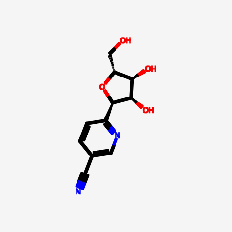 N#Cc1ccc([C@H]2O[C@H](CO)[C@@H](O)[C@H]2O)nc1